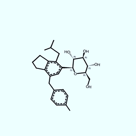 Cc1ccc(Cc2cc([C@@H]3O[C@H](CO)[C@@H](O)[C@H](O)[C@H]3O)c(CC(C)C)c3c2CCC3)cc1